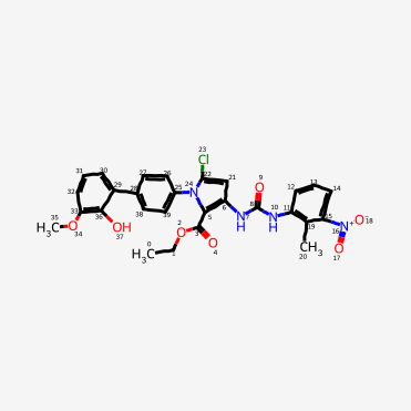 CCOC(=O)c1c(NC(=O)Nc2cccc([N+](=O)[O-])c2C)cc(Cl)n1-c1ccc(-c2cccc(OC)c2O)cc1